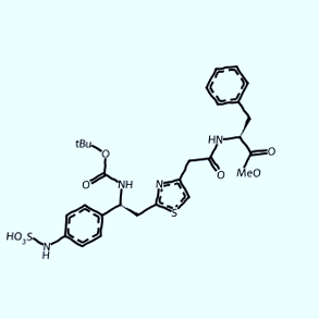 COC(=O)[C@H](Cc1ccccc1)NC(=O)Cc1csc(C[C@H](NC(=O)OC(C)(C)C)c2ccc(NS(=O)(=O)O)cc2)n1